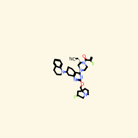 C=C(F)C(=O)N1CCN(c2nc(OCC34CCCN3CC(F)C4)nc3c2CCC(N2CCCc4ccccc42)C3)C[C@@H]1CC#N